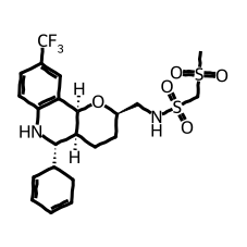 CS(=O)(=O)CS(=O)(=O)NC[C@H]1CC[C@@H]2[C@H](O1)c1cc(C(F)(F)F)ccc1N[C@H]2C1C=CC=CC1